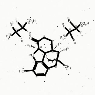 CN1CC[C@]23c4c5ccc(O)c4O[C@H]2C(=O)CC[C@H]3[C@H]1C5.O=C(O)C(F)(F)C(F)(F)C(F)(F)F.O=C(O)C(F)(F)C(F)(F)C(F)(F)F